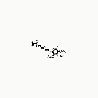 C=C(C)C(=O)OCCOCCO[C@@H]1O[C@H](C)[C@H](OC(C)=O)[C@H](OC(C)=O)[C@H]1OC(C)=O